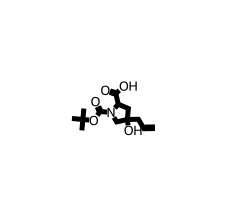 C=CCC1(O)CC(C(=O)O)N(C(=O)OC(C)(C)C)C1